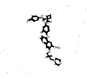 COc1cc2c(Oc3ccc(NC(=O)C4(C(=O)Nc5ccc(F)cc5)CCC4)cc3F)ccnc2cc1OCC(F)(F)CN1CCOCC1